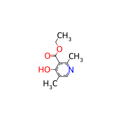 CCOC(=O)c1c(C)ncc(C)c1O